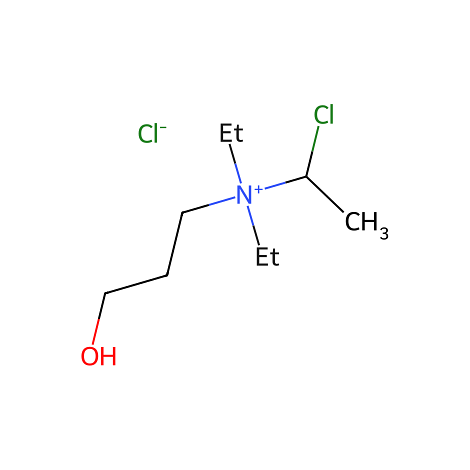 CC[N+](CC)(CCCO)C(C)Cl.[Cl-]